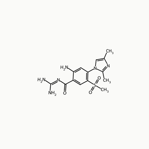 Cc1cn(-c2cc(N)c(C(=O)N=C(N)N)cc2S(C)(=O)=O)c(C)n1